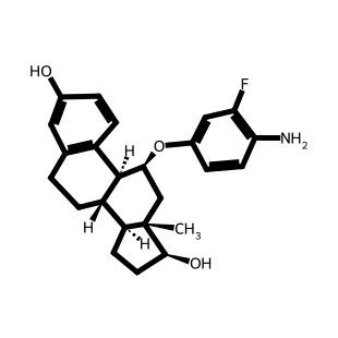 C[C@]12C[C@H](Oc3ccc(N)c(F)c3)[C@@H]3c4ccc(O)cc4CC[C@H]3[C@@H]1CC[C@@H]2O